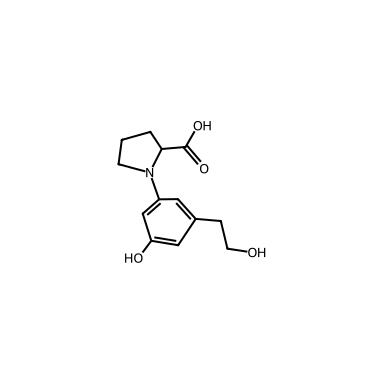 O=C(O)C1CCCN1c1cc(O)cc(CCO)c1